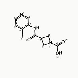 O=C(Nc1cnccc1I)C1CN(C(=O)O)C1